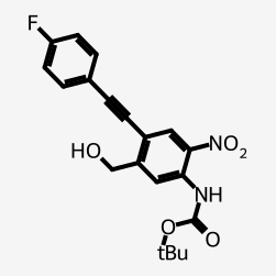 CC(C)(C)OC(=O)Nc1cc(CO)c(C#Cc2ccc(F)cc2)cc1[N+](=O)[O-]